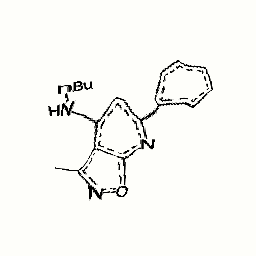 CCCCNc1cc(-c2ccccc2)nc2onc(C)c12